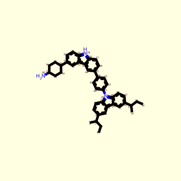 CCC(C)c1ccc2c(c1)c1cc(C(C)CC)ccc1n2-c1ccc(-c2ccc3[nH]c4ccc(C5CCC(N)CC5)cc4c3c2)cc1